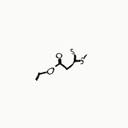 CCOC(=O)CC(=S)SC